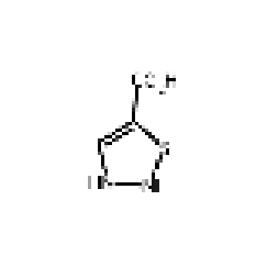 O=C(O)C1=CNNS1